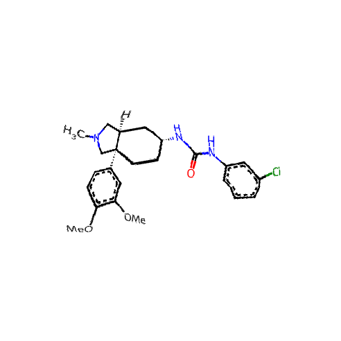 COc1ccc([C@@]23CC[C@@H](NC(=O)Nc4cccc(Cl)c4)C[C@@H]2CN(C)C3)cc1OC